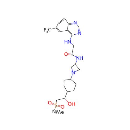 CNS(=O)(=O)CC(O)C1CCC(N2CC(NC(=O)CNc3ncnc4ccc(C(F)(F)F)cc34)C2)CC1